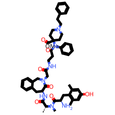 COC(=O)C1(N(C(=O)CCNC(=O)CN2Cc3ccccc3C[C@H](NC(=O)[C@@H](C)N(C)C(=O)[C@@H](N)Cc3c(C)cc(O)cc3C)C2=O)c2ccccc2)CCN(CCc2ccccc2)CC1